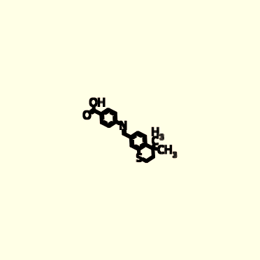 CC1(C)CCSc2cc(C=Nc3ccc(C(=O)O)cc3)ccc21